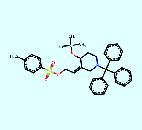 Cc1ccc(S(=O)(=O)OC/C=C2/CN(C(c3ccccc3)(c3ccccc3)c3ccccc3)CCC2O[Si](C)(C)C(C)(C)C)cc1